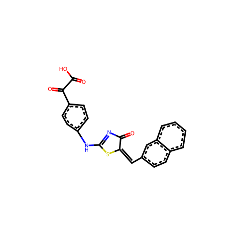 O=C(O)C(=O)c1ccc(NC2=NC(=O)C(=Cc3ccc4ccccc4c3)S2)cc1